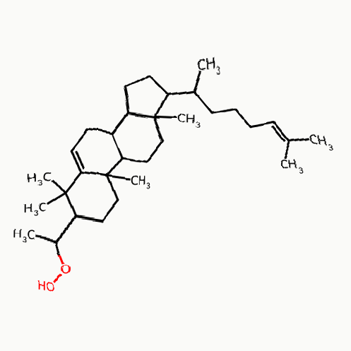 CC(C)=CCCCC(C)C1CCC2C3CC=C4C(C)(C)C(C(C)OO)CCC4(C)C3CCC12C